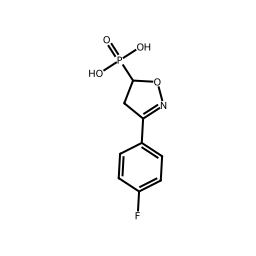 O=P(O)(O)C1CC(c2ccc(F)cc2)=NO1